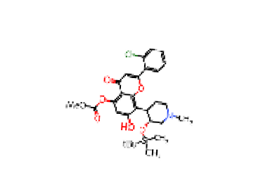 COC(=O)Oc1cc(O)c([C@H]2CCN(C)C[C@H]2O[Si](C)(C)C(C)(C)C)c2oc(-c3ccccc3Cl)cc(=O)c12